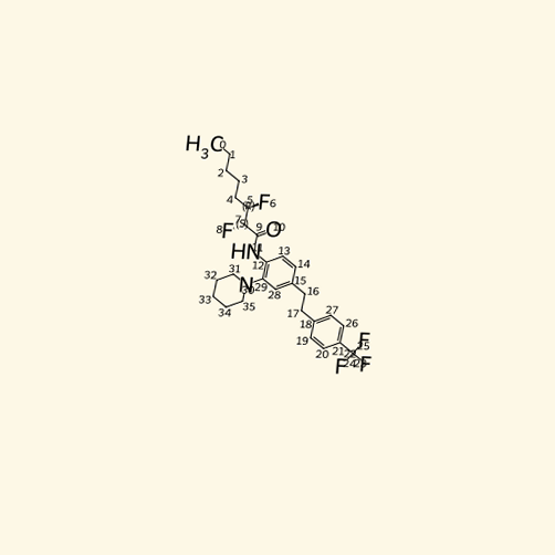 CCCCC[C@@H](F)[C@@H](F)C(=O)Nc1ccc(CCc2ccc(C(F)(F)F)cc2)cc1N1CCCCC1